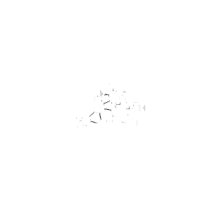 CCOC(=O)c1c(-c2ccc(C[S+](C)[O-])cc2)c2[nH]nc(C(C)C)c2n1C(=O)OC(C)(C)C